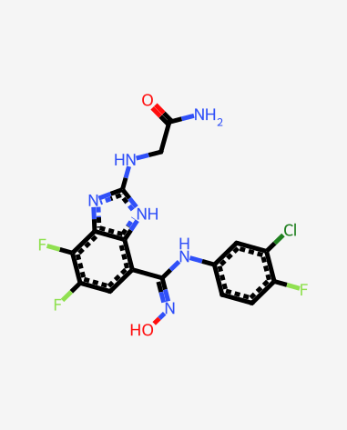 NC(=O)CNc1nc2c(F)c(F)cc(/C(=N\O)Nc3ccc(F)c(Cl)c3)c2[nH]1